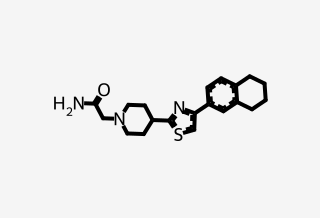 NC(=O)CN1CCC(c2nc(-c3ccc4c(c3)CCCC4)cs2)CC1